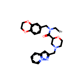 CC(C)CN(Cc1ccc2c(c1)OCCO2)C(=O)C1CN(Cc2cc3ccccn3n2)CCO1